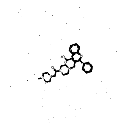 CN1CCN(CC(=O)N2CCN(Cc3c(-c4ccccc4)nc4ccccc4c3C(=O)O)CC2)CC1